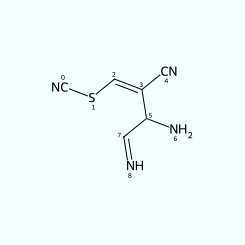 N#CS/C=C(/C#N)C(N)C=N